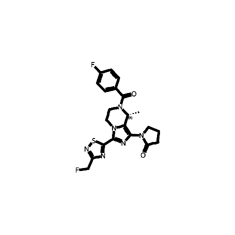 C[C@@H]1c2c(N3CCCC3=O)nc(-c3nc(CF)ns3)n2CCN1C(=O)c1ccc(F)cc1